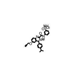 C#CCOc1ccc2c(c1)C(c1ccc(C(C)C)cc1)NC(C(=O)Nc1cccc(S(N)(=O)=O)c1)=N2